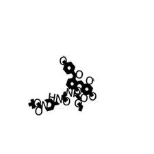 CCOC(=O)COc1c(NCC(=O)NCC2CCN(C(=O)OC(C)(C)C)CC2)ccc(C(=O)c2ccc(OC)cc2)c1Cc1ccc(OC)cc1OC